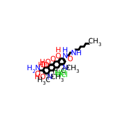 CCCCCCCNCC(=O)Nc1cc(N(C)C)c2c(c1O)C(=O)C1=C(O)[C@]3(O)C(=O)C(C(N)=O)=C(O)[C@@H](N(C)C)C3CC1C2.Cl.Cl